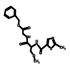 COCC(NC(=O)c1cnc(C)s1)C(=O)NCC(=O)OCc1ccccc1